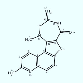 Cc1ccc2c(ccc3sc4c(c32)N(C)C[C@@H](C)NC4=O)n1